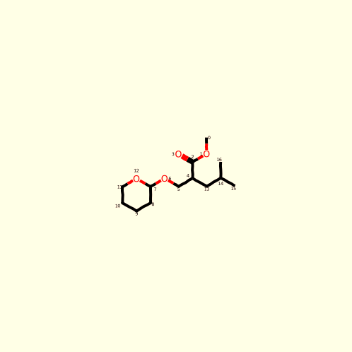 COC(=O)C(COC1CCCCO1)CC(C)C